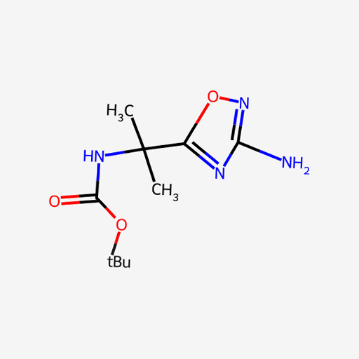 CC(C)(C)OC(=O)NC(C)(C)c1nc(N)no1